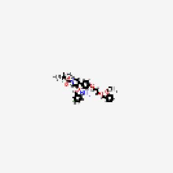 COc1ccccc1COCCCOc1ccc(C2CCN(C(=O)OC(C)(C)C)CC2OCc2cc(F)ccc2N)cc1